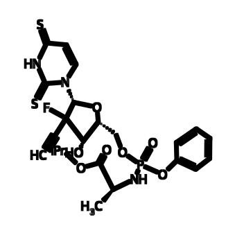 C#CC1(F)[C@@H](O)[C@@H](COP(=O)(N[C@@H](C)C(=O)OC(C)C)Oc2ccccc2)O[C@H]1n1ccc(=S)[nH]c1=S